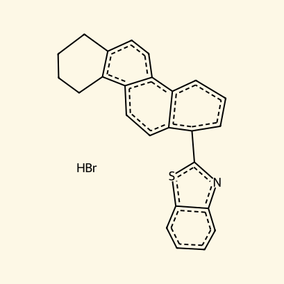 Br.c1ccc2sc(-c3cccc4c3ccc3c5c(ccc34)CCCC5)nc2c1